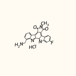 Cl.Cn1c(=O)c2c(c1=O)c1c3cccc(CN)c3nc1c1nc3cc(F)ccc3c12